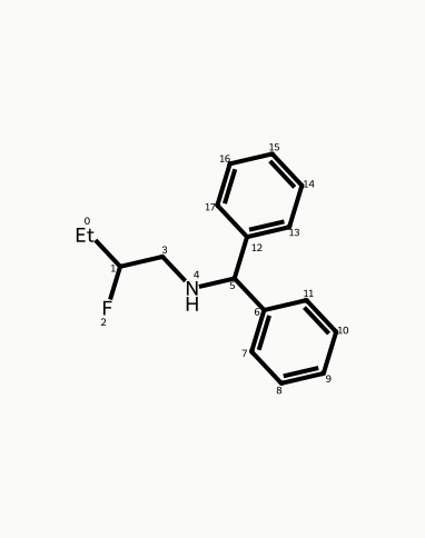 CCC(F)CNC(c1ccccc1)c1ccccc1